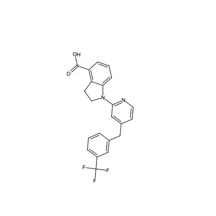 O=C(O)c1cccc2c1CCN2c1cc(Cc2cccc(C(F)(F)F)c2)ccn1